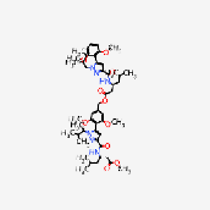 CCC(C)Cn1nc(C(=O)N[C@H](CC(=O)OCc2cc(OC)c(-c3cc(C(=O)N[C@H](CC(=O)OC)CC(C)C)nn3C(C)C(C)C)c(OC)c2)CC(C)C)cc1-c1c(OC)cccc1OC